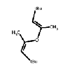 CC(=CC(C)(C)C)OC(C)=CC(C)(C)C